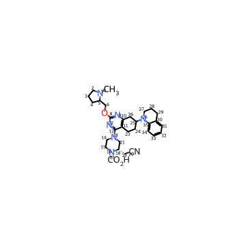 CN1CCCC1COc1nc2c(c(N3CCN(C(=O)O)[C@@H](CC#N)C3)n1)CCC(N1CCCc3ccccc31)C2